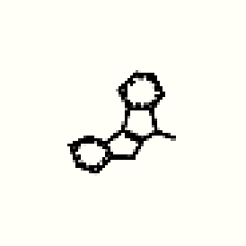 CC1C2=C(c3ccccc3C2)c2ccccc21